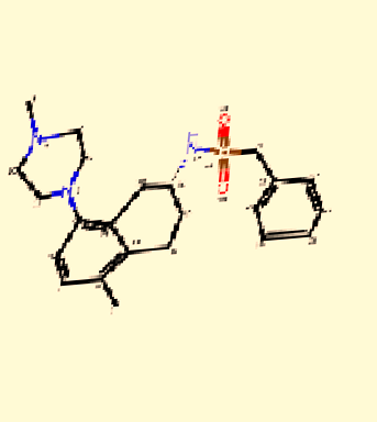 Cc1ccc(N2CCN(C)CC2)c2c1CC[C@@H](NS(=O)(=O)Cc1ccccc1)C2